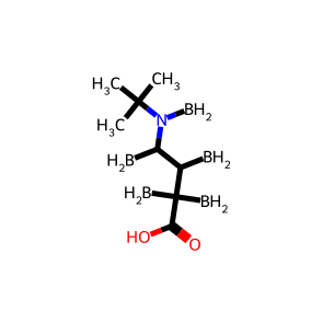 BC(C(B)C(B)(B)C(=O)O)N(B)C(C)(C)C